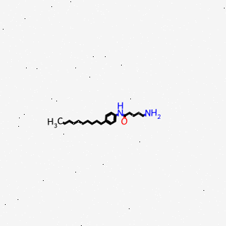 CCCCCCCCCCc1ccc(NC(=O)CCCCN)cc1